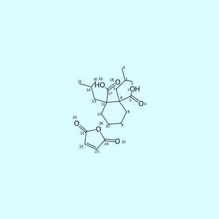 CC(C)CC1(C(=O)O)CCCCC1(CC(C)C)C(=O)O.O=C1C=CC(=O)O1